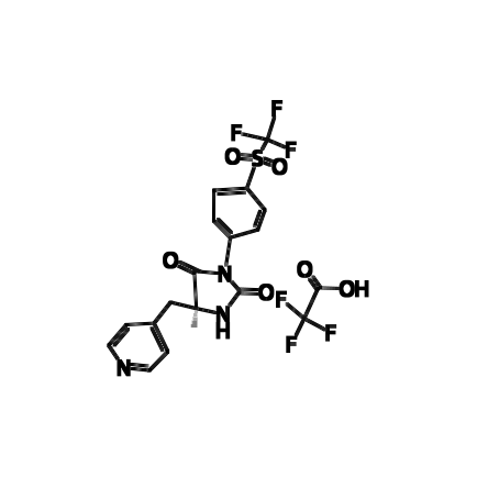 C[C@@]1(Cc2ccncc2)NC(=O)N(c2ccc(S(=O)(=O)C(F)(F)F)cc2)C1=O.O=C(O)C(F)(F)F